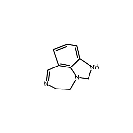 C1=NCCN2CNc3cccc1c32